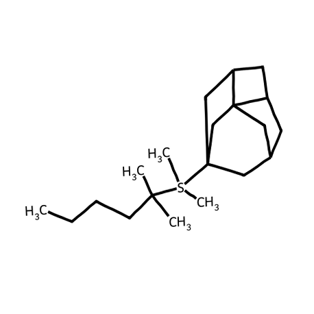 CCCCC(C)(C)S(C)(C)C12CC3CC4CC(C1)C4(C3)C2